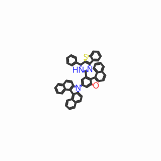 c1ccc(C2NC(c3cc(-n4c5ccc6ccccc6c5c5c6ccccc6ccc54)cc4oc5ccc6ccccc6c5c34)=Nc3c2sc2ccccc32)cc1